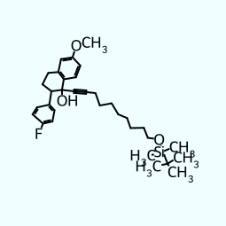 COc1ccc2c(c1)CCC(c1ccc(F)cc1)C2(O)C#CCCCCCCCCO[Si](C)(C)C(C)(C)C